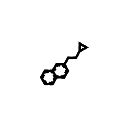 c1ccc2cc(CCC3CC3)ccc2c1